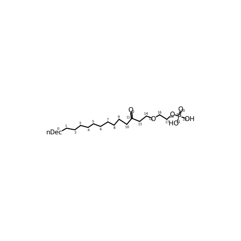 CCCCCCCCCCCCCCCCCCCCC(=O)CCOCCOP(=O)(O)O